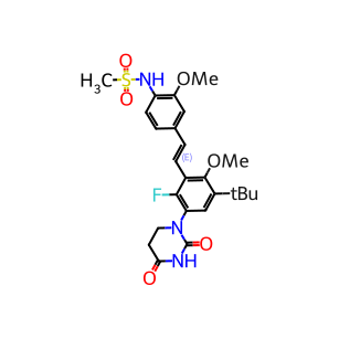 COc1cc(/C=C/c2c(F)c(N3CCC(=O)NC3=O)cc(C(C)(C)C)c2OC)ccc1NS(C)(=O)=O